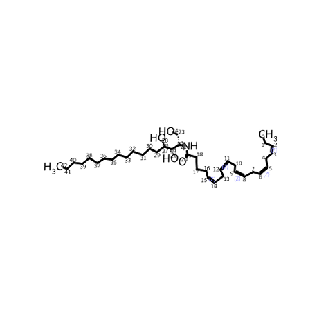 CC/C=C\C/C=C\C/C=C\C/C=C\C/C=C\CCCC(=O)N[C@@H](CO)[C@H](O)[C@H](O)CCCCCCCCCCCCCC